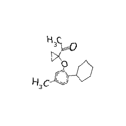 CC(=O)C1(Oc2cc(C)ccc2C2CCCCC2)CC1